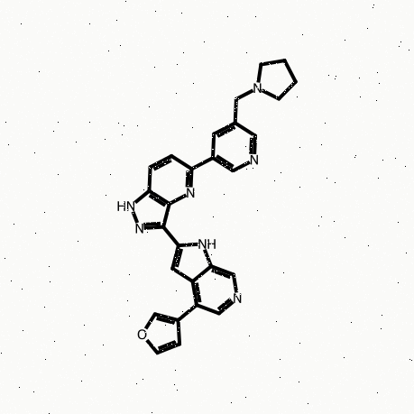 c1cc(-c2cncc3[nH]c(-c4n[nH]c5ccc(-c6cncc(CN7CCCC7)c6)nc45)cc23)co1